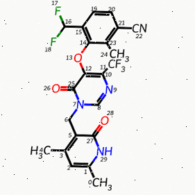 Cc1cc(C)c(Cn2cnc(C(F)(F)F)c(Oc3c(C(F)F)ccc(C#N)c3C)c2=O)c(=O)[nH]1